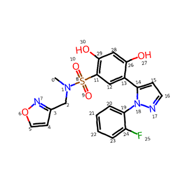 CN(Cc1ccon1)S(=O)(=O)c1cc(-c2ccnn2-c2ccccc2F)c(O)cc1O